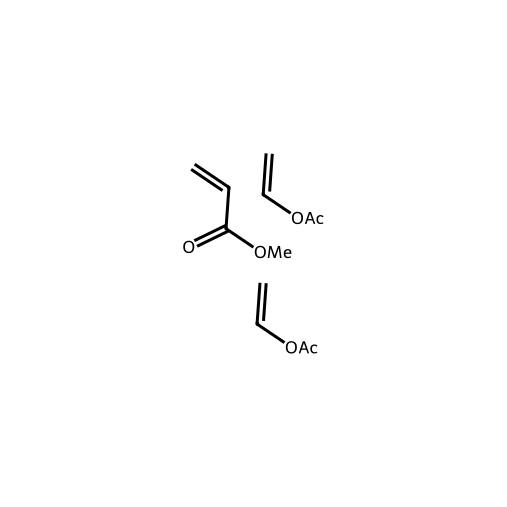 C=CC(=O)OC.C=COC(C)=O.C=COC(C)=O